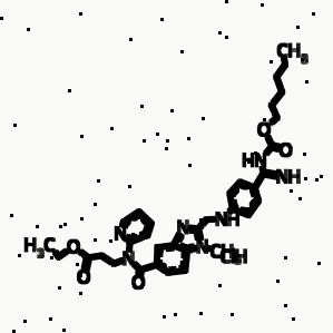 CCCCCCOC(=O)NC(=N)c1ccc(NCc2nc3cc(C(=O)N(CCC(=O)OCC)c4ccccn4)ccc3n2C)cc1.Cl